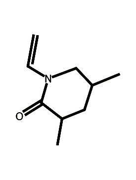 C=CN1CC(C)CC(C)C1=O